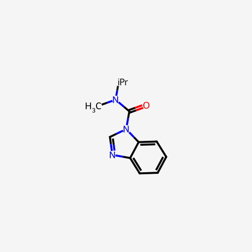 CC(C)N(C)C(=O)n1cnc2ccccc21